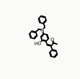 CC(=O)C(=Cc1ccc(N(Cc2ccccc2)Cc2ccccc2)cc1O)c1ccccc1